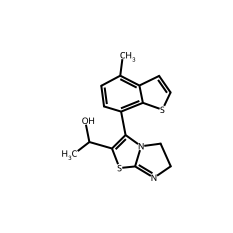 Cc1ccc(C2=C(C(C)O)SC3=NCCN32)c2sccc12